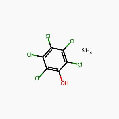 Oc1c(Cl)c(Cl)c(Cl)c(Cl)c1Cl.[SiH4]